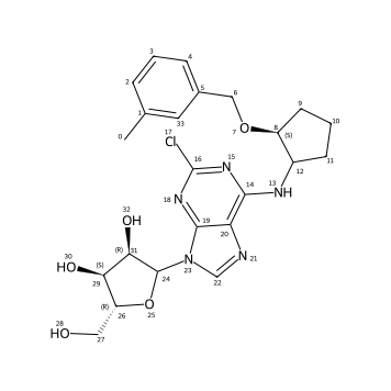 Cc1cccc(CO[C@H]2CCCC2Nc2nc(Cl)nc3c2ncn3C2O[C@H](CO)[C@@H](O)[C@H]2O)c1